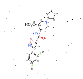 O=C(N[C@H]1CCN(C2CCCC2)C[C@@H]1C(=O)O)c1cc(-c2ccc(F)cc2F)no1